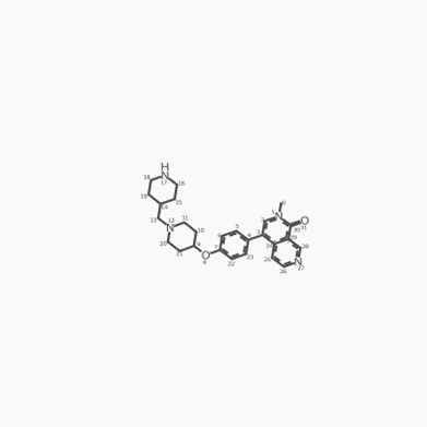 Cn1cc(-c2ccc(OC3CCN(CC4CCNCC4)CC3)cc2)c2ccncc2c1=O